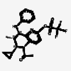 CC(=O)N1c2ccc(OS(=O)(=O)C(F)(F)F)nc2[C@H](Nc2ccccc2)[C@@H](C)[C@@H]1C1CC1